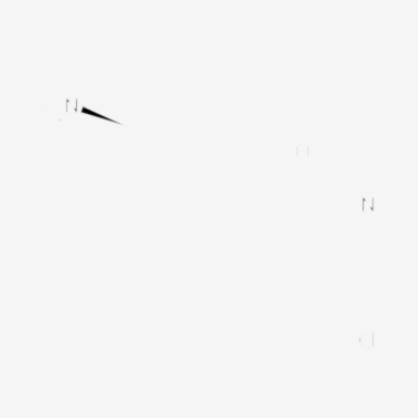 N[C@H]1CC[C@H](Oc2ccc(Cl)cn2)CC1